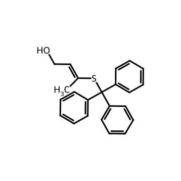 CC(=CCO)SC(c1ccccc1)(c1ccccc1)c1ccccc1